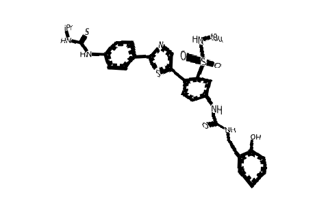 CC(C)NC(=S)Nc1ccc(-c2ncc(-c3ccc(NC(=O)NCc4ccccc4O)cc3S(=O)(=O)NC(C)(C)C)s2)cc1